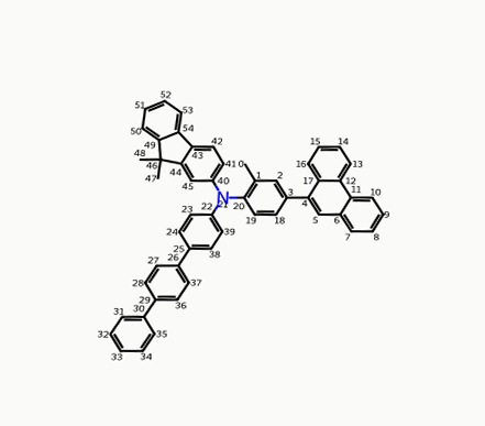 Cc1cc(-c2cc3ccccc3c3ccccc23)ccc1N(c1ccc(-c2ccc(-c3ccccc3)cc2)cc1)c1ccc2c(c1)C(C)(C)c1ccccc1-2